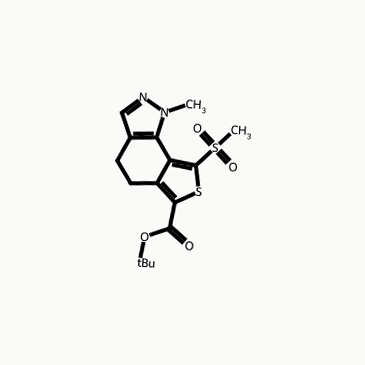 Cn1ncc2c1-c1c(S(C)(=O)=O)sc(C(=O)OC(C)(C)C)c1CC2